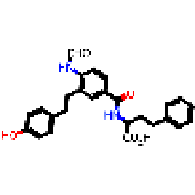 O=CNc1ccc(C(=O)NC(CCc2ccccc2)C(=O)O)cc1CCc1ccc(O)cc1